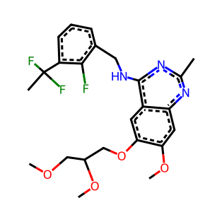 COCC(COc1cc2c(NCc3cccc(C(C)(F)F)c3F)nc(C)nc2cc1OC)OC